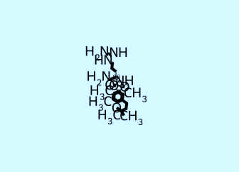 Cc1c(C)c(S(=O)(=O)N[C@@H](CCCNC(=N)N)C(N)=O)c(C)c2c1OC(C)(C)CC2